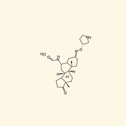 C[C@]12CCC(=NO[C@@H]3CCNC3)CC1C(NC=O)C[C@@H]1[C@H]2CC[C@]2(C)C(=O)CC[C@@H]12.Cl